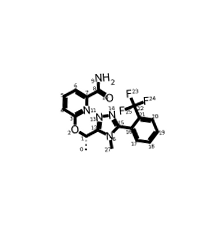 C[C@H](Oc1cccc(C(N)=O)n1)c1nnc(-c2ccccc2C(F)(F)F)n1C